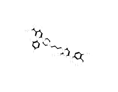 CCc1cc(Nc2cc(=O)n(CCCCN3CCN(c4cc(=O)c(C(=O)O)cn4-c4ccc(F)cc4F)CC3)c(N)n2)ccc1C